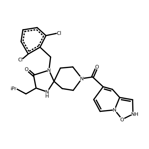 CC(C)CC1NC2(CCN(C(=O)C3=CC4=CNON4C=C3)CC2)N(Cc2c(Cl)cccc2Cl)C1=O